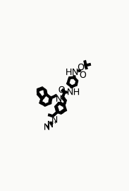 CC(N=[N+]=[N-])c1ccc2cc(C(=O)NC3CCC(NC(=O)OC(C)(C)C)CC3)n(Cc3cccc4ccccc34)c2c1